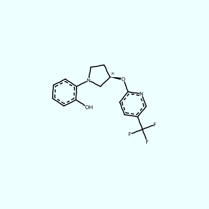 Oc1ccccc1N1CC[C@@H](Oc2ccc(C(F)(F)F)cn2)C1